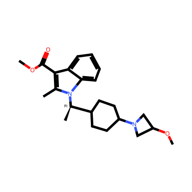 COC(=O)c1c(C)n([C@H](C)C2CCC(N3CC(OC)C3)CC2)c2ccccc12